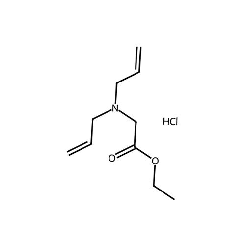 C=CCN(CC=C)CC(=O)OCC.Cl